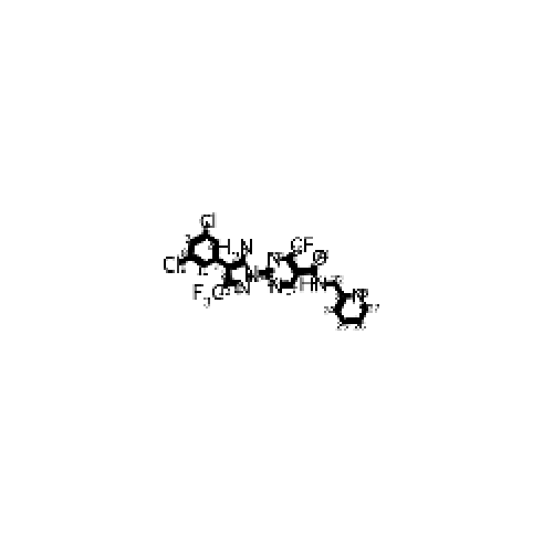 Nc1c(-c2cc(Cl)cc(Cl)c2)c(C(F)(F)F)nn1-c1ncc(C(=O)NCc2ccccn2)c(C(F)(F)F)n1